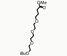 COC(=O)CCCOCCOCCOCCOCC(C)C